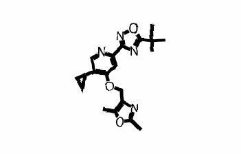 Cc1nc(COc2cc(-c3noc(C(C)(C)C)n3)ncc2C2CC2)c(C)o1